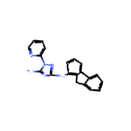 Nc1nc(Nc2cccc3c2Cc2ccccc2-3)nn1-c1ccccn1